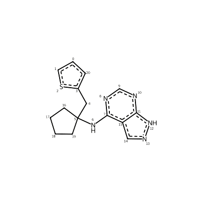 c1csc(CC2(Nc3ncnc4[nH]ncc34)CCCC2)c1